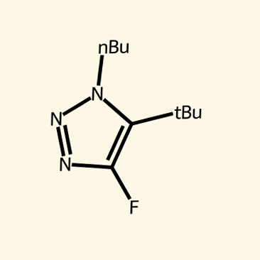 CCCCn1nnc(F)c1C(C)(C)C